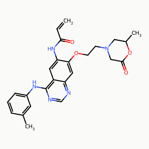 C=CC(=O)Nc1cc2c(Nc3cccc(C)c3)ncnc2cc1OCCN1CC(=O)OC(C)C1